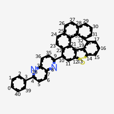 c1ccc(-c2ccc3nc(-c4cc5sc6cccc7c6c5c5c4ccc4ccc6cccc-7c6c45)ccc3n2)cc1